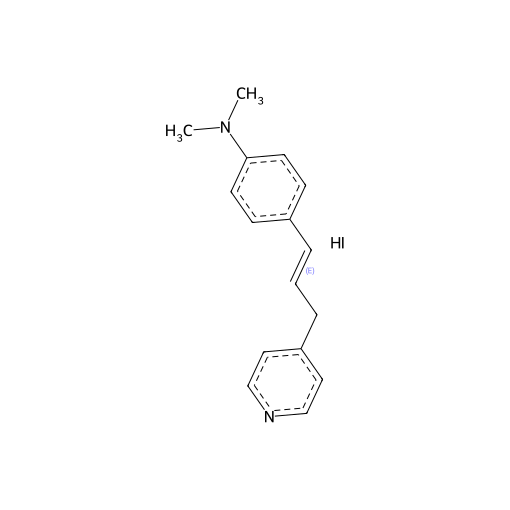 CN(C)c1ccc(/C=C/Cc2ccncc2)cc1.I